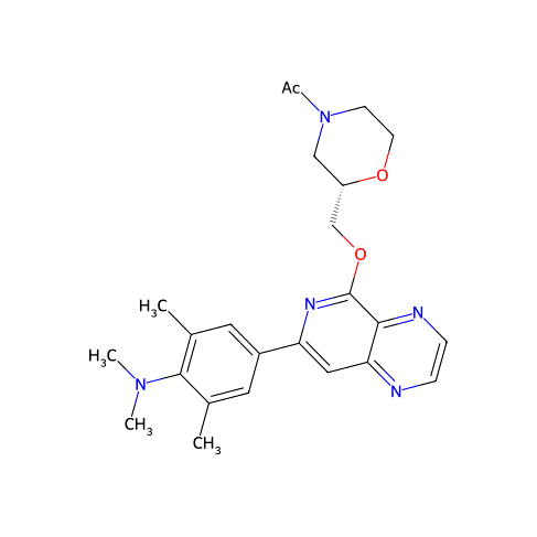 CC(=O)N1CCO[C@H](COc2nc(-c3cc(C)c(N(C)C)c(C)c3)cc3nccnc23)C1